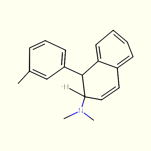 [2H]C1(N(C)C)C=Cc2ccccc2C1c1cccc(C)c1